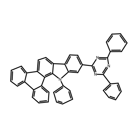 c1ccc(-c2nc(-c3ccccc3)nc(-c3ccc4c5ccc6c7ccccc7c7ccccc7c6c5n(-c5ccccc5)c4c3)n2)cc1